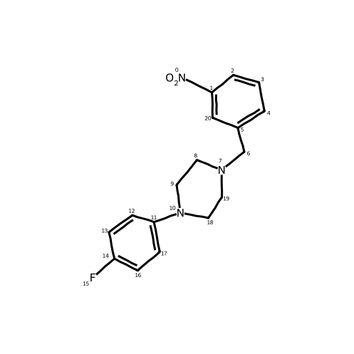 O=[N+]([O-])c1cccc(CN2CCN(c3ccc(F)cc3)CC2)c1